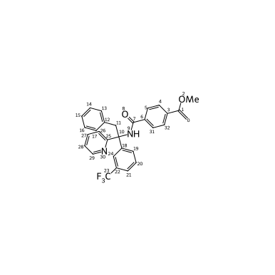 C=C(OC)c1ccc(C(=O)NC(Cc2ccccc2)(c2cccc(C(F)(F)F)c2)c2ccccn2)cc1